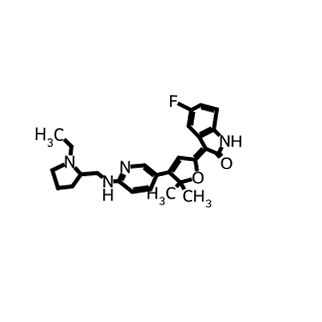 CCN1CCCC1CNc1ccc(C2=CC(=C3C(=O)Nc4ccc(F)cc43)OC2(C)C)cn1